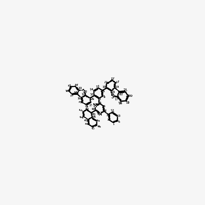 c1ccc(-c2cc(-c3cc(-c4cccc5c4sc4ccccc45)ccc3-c3cccc4c3sc3ccccc34)nc(-c3cccc4ccccc34)n2)cc1